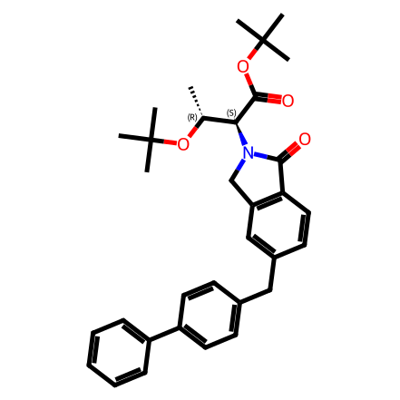 C[C@@H](OC(C)(C)C)[C@@H](C(=O)OC(C)(C)C)N1Cc2cc(Cc3ccc(-c4ccccc4)cc3)ccc2C1=O